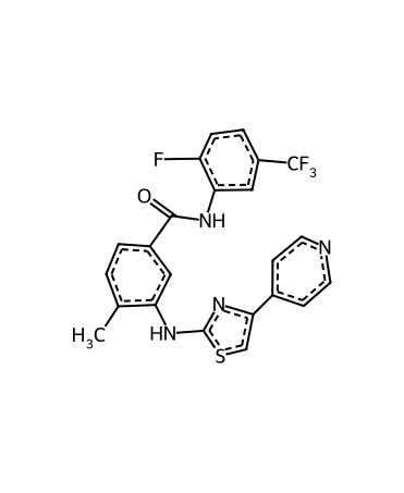 Cc1ccc(C(=O)Nc2cc(C(F)(F)F)ccc2F)cc1Nc1nc(-c2ccncc2)cs1